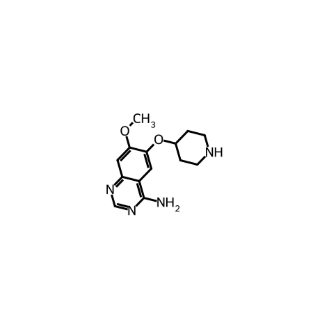 COc1cc2ncnc(N)c2cc1OC1CCNCC1